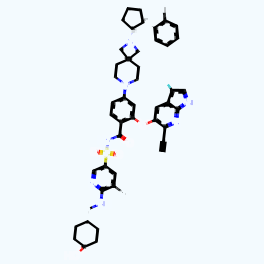 C#Cc1nc2[nH]cc(F)c2cc1Oc1cc(N2CCC3(CC2)CN([C@@H]2CCC[C@@H]2c2ccccc2C(C)C)C3)ccc1C(=O)NS(=O)(=O)c1cnc(NC[C@H]2CC[C@](C)(O)CC2)c([N+](=O)[O-])c1